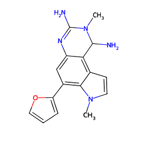 CN1C(N)=Nc2cc(-c3ccco3)c3c(ccn3C)c2C1N